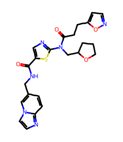 O=C(NCc1ccc2nccn2c1)c1cnc(N(CC2CCCO2)C(=O)CCc2ccno2)s1